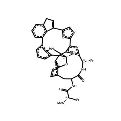 CN[C@H](C(=O)NC1Cc2ccc3c(c2)C24c5cccc(c5N[C@H]2O3)-c2cccc3c2C(=CC3)c2cnc(o2)-c2nc(oc24)[C@H](C(C)C)NC1=O)C(C)C